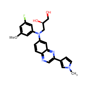 COc1cc(F)cc(N(C[C@@H](O)CO)c2ccc3ncc(-c4ccn(C)c4)nc3c2)c1